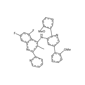 COc1ccccc1-c1cnc(-c2ccccc2OC)c(Nc2c(C)c(-c3ccccn3)nc3cc(F)cc(F)c23)c1